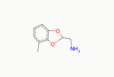 Cc1cccc2c1OC(CN)O2